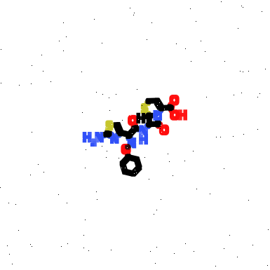 Nc1nc(C(=NOC2CCCCC2)C(=O)NC2C(=O)N3C(C(=O)O)=CCS[C@@H]23)cs1